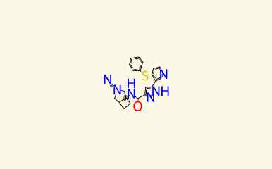 N#CN1CC2CC[C@]2(NC(=O)c2cc(-c3cnccc3Sc3ccccc3)[nH]n2)C1